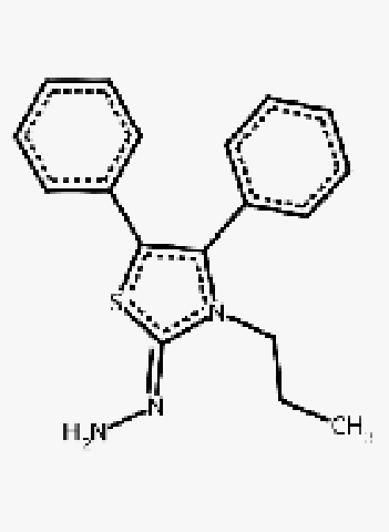 CCCn1c(-c2ccccc2)c(-c2ccccc2)s/c1=N\N